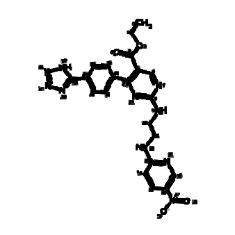 CCOC(=O)c1cnc(NCCNc2ccc([N+](=O)[O-])cn2)nc1-c1ccc(-c2nnn[nH]2)cc1